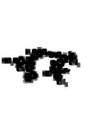 Cc1cc(C(C(=O)N2C[C@H](O)C[C@H]2C(=O)NCc2ccc(-c3scnc3C)cc2OCCOCCO[C@@H]2C[C@@H](COc3nc4c(c(N5CCN(C(=O)O)C(CC#N)C5)n3)CCN(c3cccc5ccccc35)C4)N(C)C2)C(C)C)on1